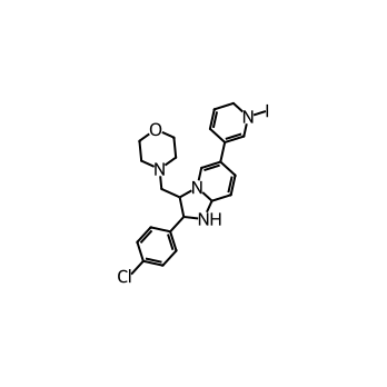 Clc1ccc(C2NC3C=CC(C4=CN(I)CC=C4)=CN3C2CN2CCOCC2)cc1